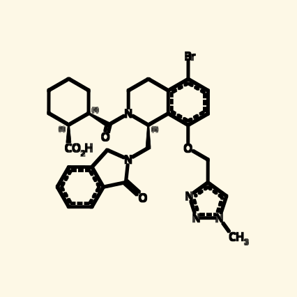 Cn1cc(COc2ccc(Br)c3c2[C@@H](CN2Cc4ccccc4C2=O)N(C(=O)[C@@H]2CCCC[C@@H]2C(=O)O)CC3)nn1